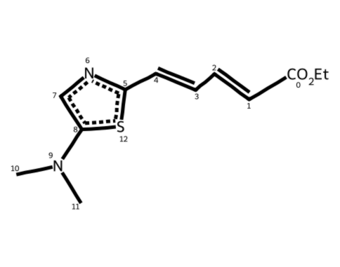 CCOC(=O)/C=C/C=C/c1ncc(N(C)C)s1